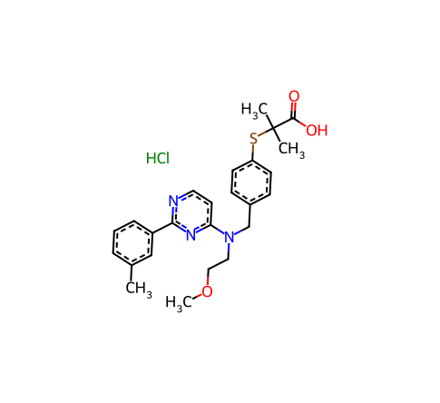 COCCN(Cc1ccc(SC(C)(C)C(=O)O)cc1)c1ccnc(-c2cccc(C)c2)n1.Cl